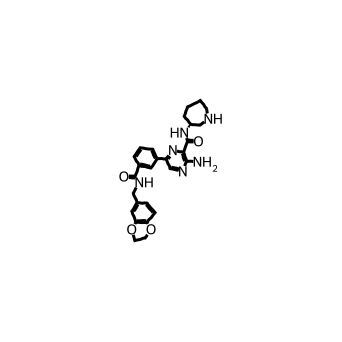 Nc1ncc(-c2cccc(C(=O)NCc3ccc4c(c3)OCCO4)c2)nc1C(=O)N[C@H]1CCCCNC1